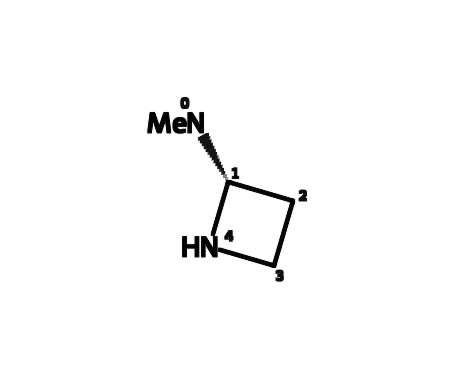 CN[C@@H]1CCN1